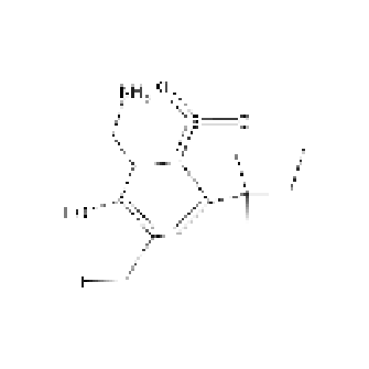 CCC(C)(C)C1=CC(CI)=C(O)C(CN)C1=S(=O)=O